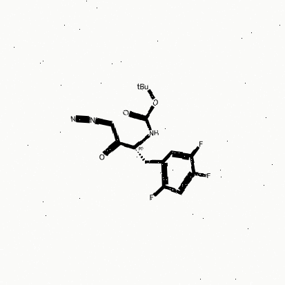 CC(C)(C)OC(=O)N[C@H](Cc1cc(F)c(F)cc1F)C(=O)C=[N+]=[N-]